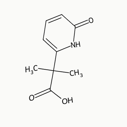 CC(C)(C(=O)O)c1cccc(=O)[nH]1